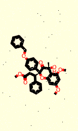 COC(=O)CC(c1ccccc1)[C@]1(c2ccc(OCc3ccccc3)cc2)Oc2cc(OC)cc(OC)c2[C@@](C)(O)C1=O